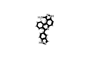 Nc1n[nH]c2ccc3nc(-c4ccc5[nH]ncc5c4)c4c(c3c12)CCCC4